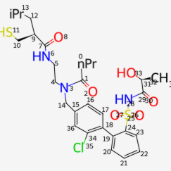 CCCC(=O)N(CCNC(=O)[C@@H](CS)CC(C)C)Cc1ccc(-c2ccccc2S(=O)(=O)NC(=O)[C@H](C)O)c(Cl)c1